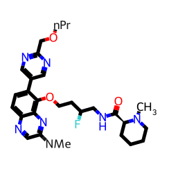 CCCOCc1ncc(-c2ccc3ncc(NC)nc3c2OCCC(F)CNC(=O)[C@@H]2CCCCN2C)cn1